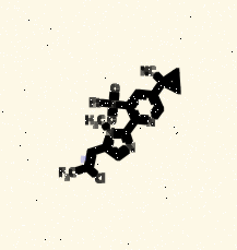 CCS(=O)(=O)c1cc(C2(C#N)CC2)cnc1-c1ncc(/C=C(\Cl)C(F)(F)F)n1C